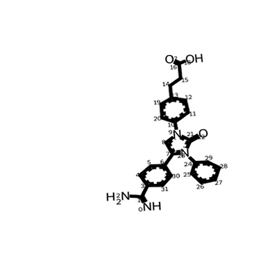 N=C(N)c1ccc(-c2cn(-c3ccc(CCC(=O)O)cc3)c(=O)n2-c2ccccc2)cc1